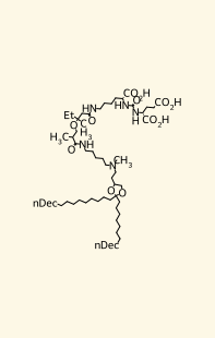 CCCCCCCCCCCCCCCCCCCC1(CCCCCCCCCCCCCCCCC)OCC(CCN(C)CCCCCNC(=O)C(C)COC(C)(CC)CC(=O)NCCCC[C@@H](NC(=O)N[C@H](CCC(=O)O)C(=O)O)C(=O)O)O1